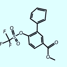 COC(=O)c1ccc(OS(=O)(=O)C(F)(F)F)c(-c2ccccc2)c1